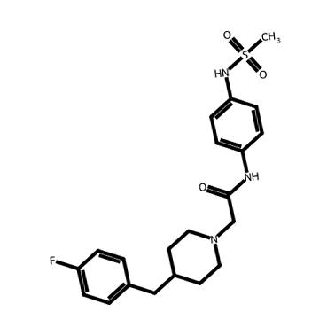 CS(=O)(=O)Nc1ccc(NC(=O)CN2CCC(Cc3ccc(F)cc3)CC2)cc1